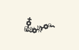 CCCOc1ccc(-c2cnc(-c3ccc(CC(C=O)NC(=O)c4ccc(C(C)(C)C)cc4)cc3)nc2)cc1